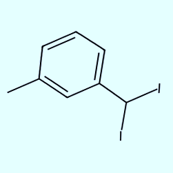 Cc1cccc(C(I)I)c1